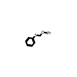 CC(C)OCSc1ccccc1